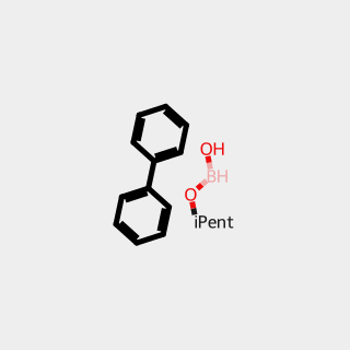 CCCC(C)OBO.c1ccc(-c2ccccc2)cc1